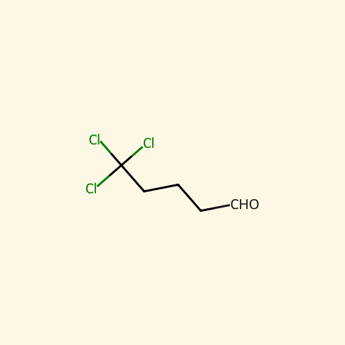 O=CCCCC(Cl)(Cl)Cl